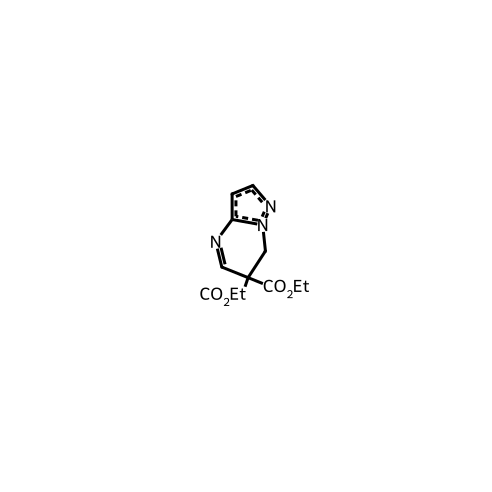 CCOC(=O)C1(C(=O)OCC)C=Nc2ccnn2C1